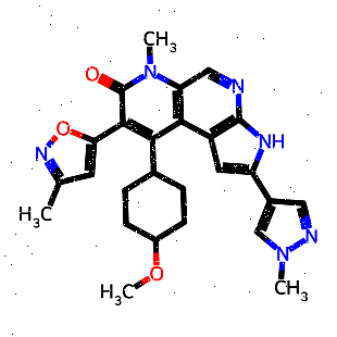 COC1CCC(c2c(-c3cc(C)no3)c(=O)n(C)c3cnc4[nH]c(-c5cnn(C)c5)cc4c23)CC1